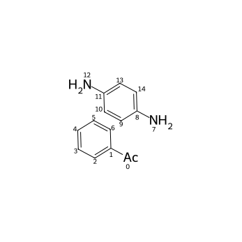 CC(=O)c1ccccc1.Nc1ccc(N)cc1